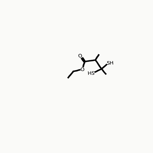 CCOC(=O)C(C)C(C)(S)S